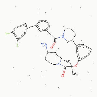 CC(C)(Oc1cccc(C2CCCN(C(=O)c3cccc(-c4ccc(F)c(F)c4)c3)C2)c1)C(=O)N1CCC(N)CC1